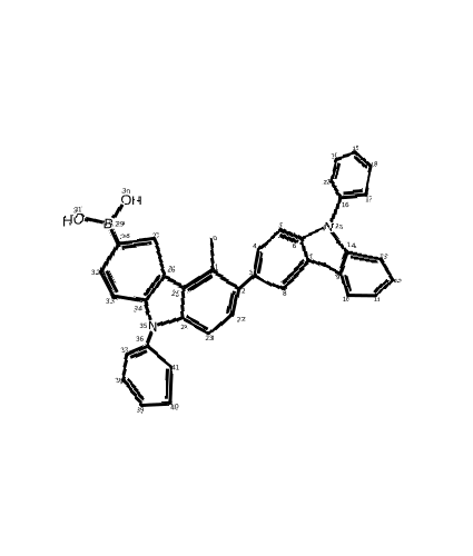 Cc1c(-c2ccc3c(c2)c2ccccc2n3-c2ccccc2)ccc2c1c1cc(B(O)O)ccc1n2-c1ccccc1